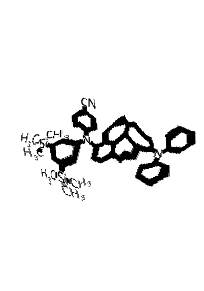 C[Si](C)(C)c1cc(N(c2ccc(C#N)cc2)c2ccc3ccc4c(N(c5ccccc5)c5ccccc5)ccc5ccc2c3c54)cc([Si](C)(C)C)c1